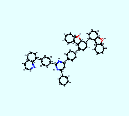 c1ccc(-c2cc(-c3ccc(-c4ccc(-c5cccc6oc7ccccc7c56)c5oc6ccccc6c45)cc3)nc(-c3ccc(-c4cccc5cccnc45)cc3)n2)cc1